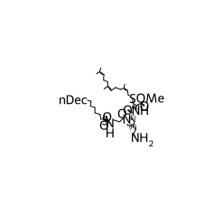 CCCCCCCCCCCCCCCCS(=O)(=O)NCCC(=O)N1C[C@H](CCN)C[C@H]1C(=O)N[C@@H](CSCC=C(C)CCC=C(C)CCC=C(C)C)C(=O)OC